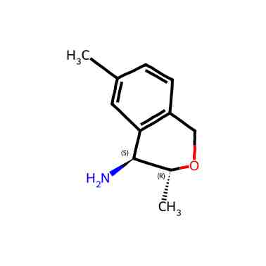 Cc1ccc2c(c1)[C@H](N)[C@@H](C)OC2